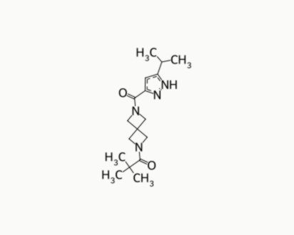 CC(C)c1cc(C(=O)N2CC3(C2)CN(C(=O)C(C)(C)C)C3)n[nH]1